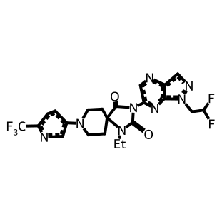 CCN1C(=O)N(c2cnc3cnn(CC(F)F)c3n2)C(=O)C12CCN(c1ccc(C(F)(F)F)nc1)CC2